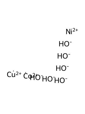 [Co+2].[Cu+2].[Ni+2].[OH-].[OH-].[OH-].[OH-].[OH-].[OH-]